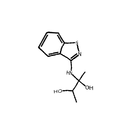 CC(O)C(C)(O)Nc1nsc2ccccc12